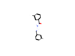 Cc1cccc(C=NNC(=O)c2cccc(C)c2)c1